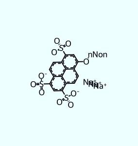 CCCCCCCCCOc1cc(S(=O)(=O)[O-])c2ccc3c(S(=O)(=O)[O-])cc(S(=O)(=O)[O-])c4ccc1c2c43.[Na+].[Na+].[Na+]